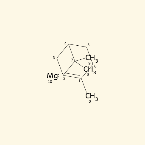 CC1=C2CC(CC1)C2(C)C.[Mg]